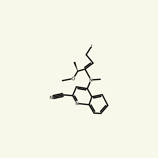 CO[C@@H](C)C(=CCI)N(C)c1cc(C#N)nc2ccccc12